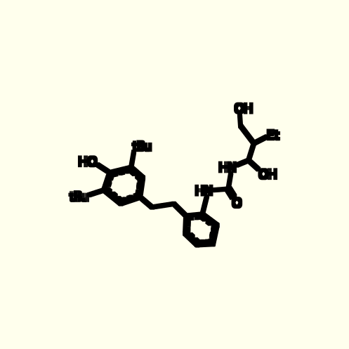 CCC(CO)C(O)NC(=O)Nc1ccccc1CCc1cc(C(C)(C)C)c(O)c(C(C)(C)C)c1